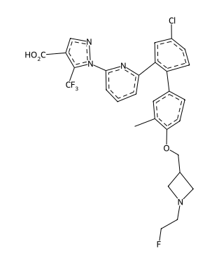 Cc1cc(-c2ccc(Cl)cc2-c2cccc(-n3ncc(C(=O)O)c3C(F)(F)F)n2)ccc1OCC1CN(CCF)C1